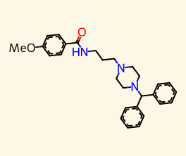 COc1ccc(C(=O)NCCCN2CCN(C(c3ccccc3)c3ccccc3)CC2)cc1